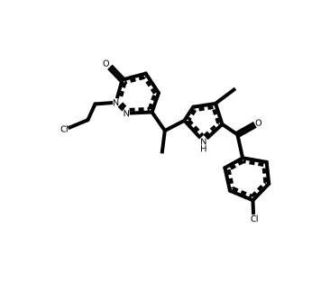 Cc1cc(C(C)c2ccc(=O)n(CCCl)n2)[nH]c1C(=O)c1ccc(Cl)cc1